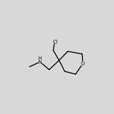 CNCC1(CCl)CCOCC1